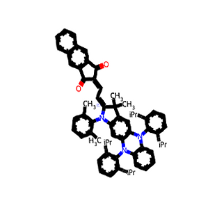 Cc1cccc(C)c1N1/C(=C/C=C2C(=O)c3cc4ccccc4cc3C2=O)C(C)(C)c2cc3c(cc21)N(c1c(C(C)C)cccc1C(C)C)c1ccccc1N3c1c(C(C)C)cccc1C(C)C